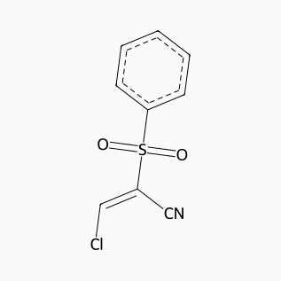 N#CC(=CCl)S(=O)(=O)c1ccccc1